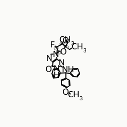 CC[C@@]1(C=O)O[C@@H](n2cnc3c(=O)[nH]c(NC(c4ccccc4)(c4ccccc4)c4ccc(OC)cc4)nc32)[C@@H](F)[C@@H]1C